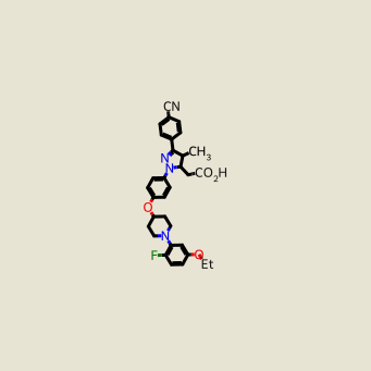 CCOc1ccc(F)c(N2CCC(Oc3ccc(N4N=C(c5ccc(C#N)cc5)C(C)C4CC(=O)O)cc3)CC2)c1